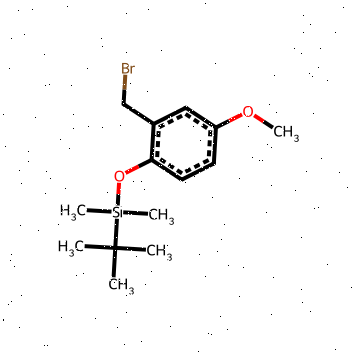 COc1ccc(O[Si](C)(C)C(C)(C)C)c(CBr)c1